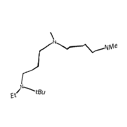 CCN(CCCN(C)CCCNC)C(C)(C)C